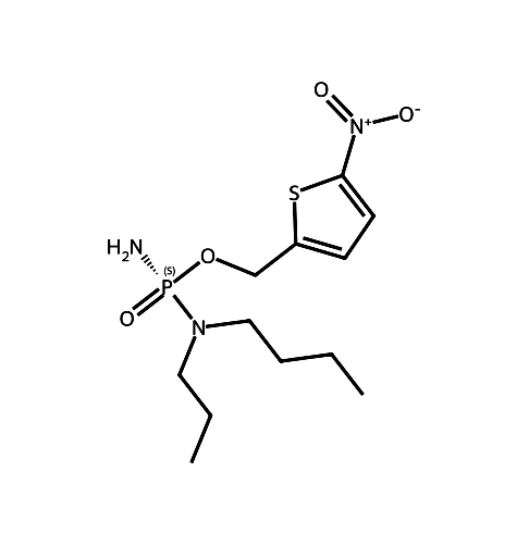 CCCCN(CCC)[P@@](N)(=O)OCc1ccc([N+](=O)[O-])s1